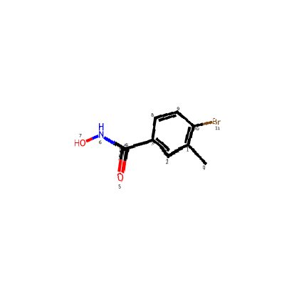 Cc1cc(C(=O)NO)ccc1Br